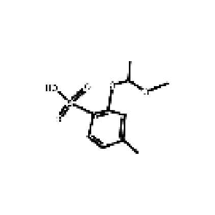 COC(C)Oc1cc(C)ccc1S(=O)(=O)O